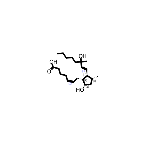 CCCCCC(C)(O)/C=C/[C@@H]1[C@@H](C/C=C\CCCC(=O)O)[C@@H](O)C[C@H]1C